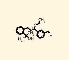 C[CH]S[C@H](CCc1ccccc1C(C)(C)O)c1cccc(C=O)c1